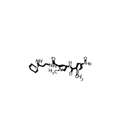 Cn1cc(NC(=O)c2cc([N+](=O)[O-])cn2C)cc1C(=O)NCCC(=N)N1CCCCC1